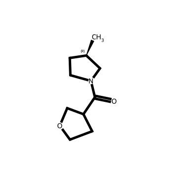 C[C@@H]1CCN(C(=O)C2CCOC2)C1